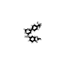 Cc1nc2cc(Nc3cc(-c4ccc(C(F)(F)F)cc4)ncn3)ccc2s1